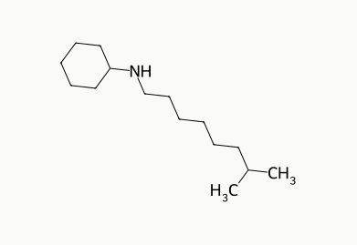 CC(C)CCCCCCNC1CCCCC1